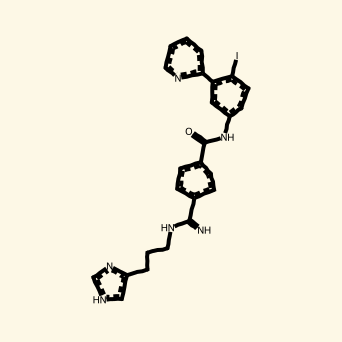 N=C(NCCCc1c[nH]cn1)c1ccc(C(=O)Nc2ccc(I)c(-c3ccccn3)c2)cc1